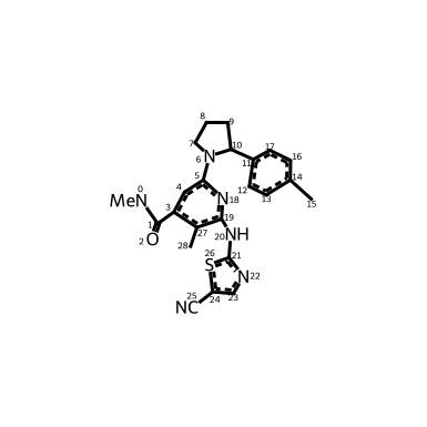 CNC(=O)c1cc(N2CCCC2c2ccc(C)cc2)nc(Nc2ncc(C#N)s2)c1C